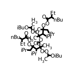 CCCCC(CC)C(=O)OOC(C)(CC(C)C)C(C(C)C)C(C)(OOC(C)OCC(C)C)OOC(C)(OOC(C)OCC(C)C)C(C(C)C)C(C)(CC(C)C)OOC(=O)C(CC)CCCC